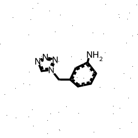 Nc1cccc(Cn2cnnn2)c1